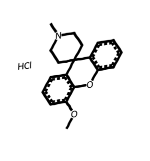 COc1cccc2c1Oc1ccccc1C21CCN(C)CC1.Cl